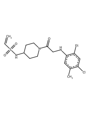 C=CS(=O)(=O)NC1CCN(C(=O)CNc2cc(C)c(Cl)cc2CC)CC1